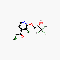 O=C(CBr)c1ccnc(OCC(O)C(F)(F)F)c1F